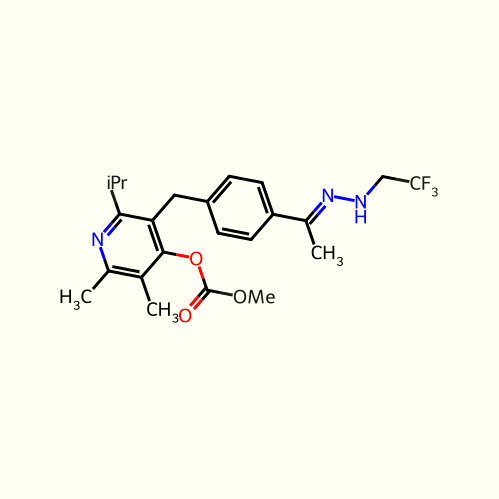 COC(=O)Oc1c(C)c(C)nc(C(C)C)c1Cc1ccc(/C(C)=N/NCC(F)(F)F)cc1